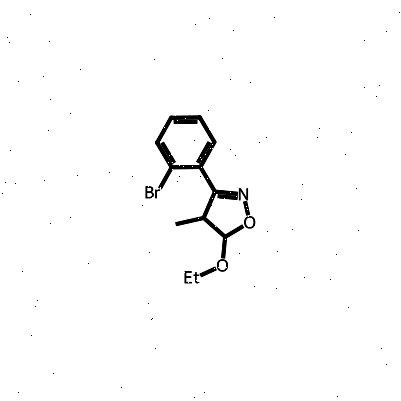 CCOC1ON=C(c2ccccc2Br)C1C